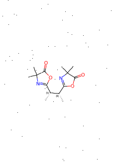 C[C@H](C1=NC(C)(C)C(=O)O1)[C@@H](C)C1=NC(C)(C)C(=O)O1